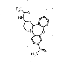 NC(=S)c1ccc2c(c1)Oc1ccccc1C1CC(NC(=S)C(F)(F)F)CCN21